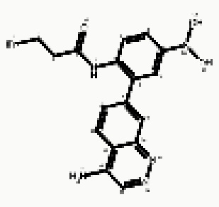 CC(C)CCC(=O)Nc1ccc(B(O)O)cc1-c1ccc2c(N)cnnc2c1